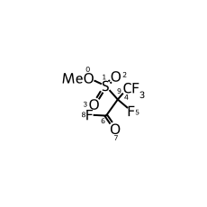 COS(=O)(=O)C(F)(C(=O)F)C(F)(F)F